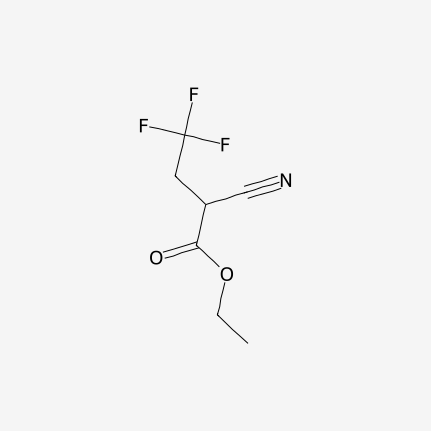 CCOC(=O)C(C#N)CC(F)(F)F